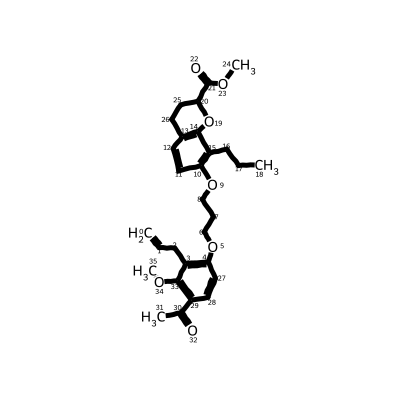 C=CCc1c(OCCCOc2ccc3c(c2CCC)OC(C(=O)OC)CC3)ccc(C(C)=O)c1OC